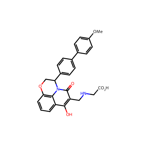 COc1ccc(-c2ccc(C3COc4cccc5c(O)c(CNCC(=O)O)c(=O)n3c45)cc2)cc1